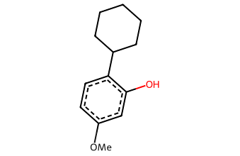 COc1ccc(C2CCCCC2)c(O)c1